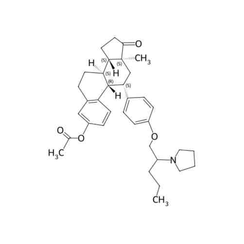 CCCC(COc1ccc([C@H]2C[C@]3(C)C(=O)CC[C@H]3[C@@H]3CCc4cc(OC(C)=O)ccc4[C@H]32)cc1)N1CCCC1